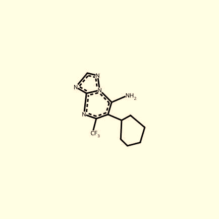 Nc1c(C2CCCCC2)c(C(F)(F)F)nc2ncnn12